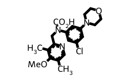 COc1c(C)cnc(CN(C(=O)O)c2cc(Cl)cc(N3CCOCC3)c2)c1C